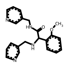 COc1ccccc1C(NCc1cccnc1)C(=O)NCc1cccnc1